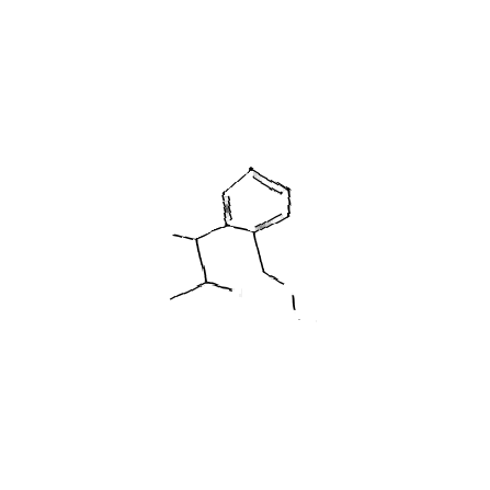 CC(S)C(C)c1ccccc1CO[SiH3]